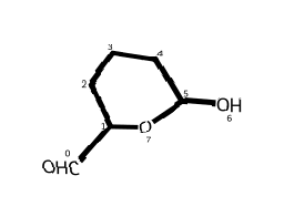 O=CC1CCCC(O)O1